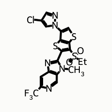 CCS(=O)(=O)c1c(-c2nc3cc(C(F)(F)F)ncc3n2C)sc2c(-n3cc(Cl)cn3)csc12